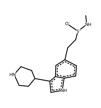 CN[S+]([O-])CCc1ccc2[nH]cc(C3CCNCC3)c2c1